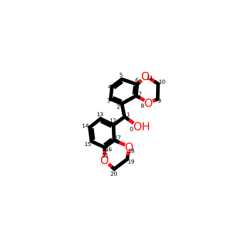 OC(c1cccc2c1OCCO2)c1cccc2c1OCCO2